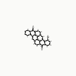 O=c1c2ccccc2c2cc3ccc4c(=O)c5cccc(Br)c5c5cc6ccc1c2c6c3c45